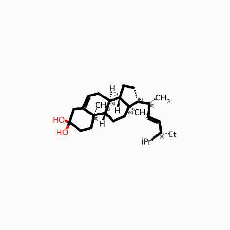 CC[C@@H](C=C[C@@H](C)[C@H]1CC[C@H]2[C@@H]3CC=C4CC(O)(O)CC[C@]4(C)[C@H]3CC[C@]12C)C(C)C